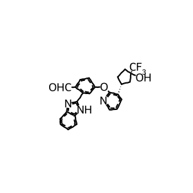 O=Cc1ccc(Oc2ncccc2[C@@H]2CC[C@](O)(C(F)(F)F)C2)cc1-c1nc2ccccc2[nH]1